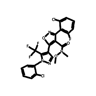 CON(C)C(=O)c1c(-c2c(F)cccc2Cl)noc1-c1cnn(-c2ccccc2Cl)c1C(F)(F)F